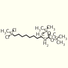 C[Si](Cl)(Cl)CCCCCCCC[SiH2]C(O[Si](C)(C)C)O[Si](C)(C)C